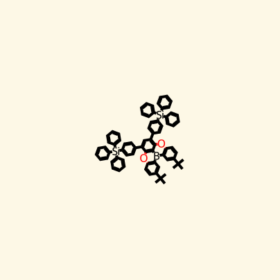 CC(C)(C)c1ccc2c(c1)B1c3cc(C(C)(C)C)ccc3Oc3c(-c4ccc([Si](c5ccccc5)(c5ccccc5)c5ccccc5)cc4)cc(-c4ccc([Si](c5ccccc5)(c5ccccc5)c5ccccc5)cc4)c(c31)O2